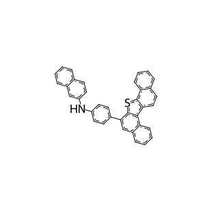 c1ccc2cc(Nc3ccc(-c4cc5ccccc5c5c4sc4c6ccccc6ccc45)cc3)ccc2c1